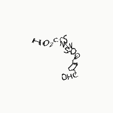 O=CCc1ccc(COc2ccc3nc(C4=NC(C(=O)O)CS4)sc3c2)cc1